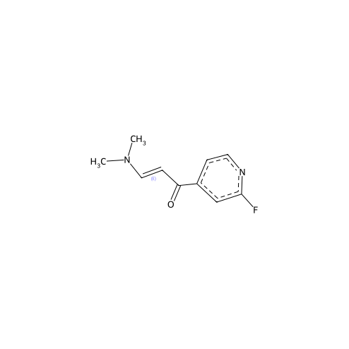 CN(C)/C=C/C(=O)c1ccnc(F)c1